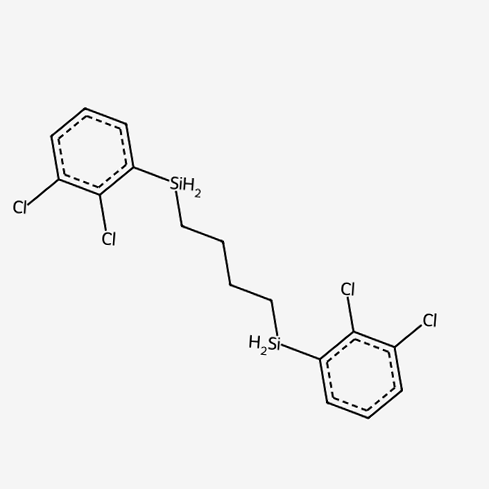 Clc1cccc([SiH2]CCCC[SiH2]c2cccc(Cl)c2Cl)c1Cl